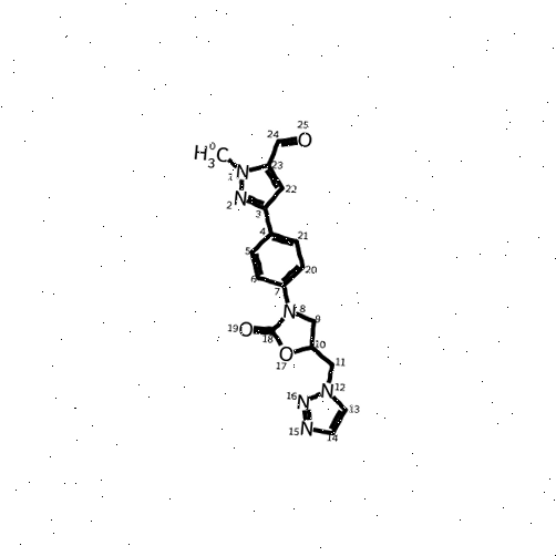 Cn1nc(-c2ccc(N3CC(Cn4ccnn4)OC3=O)cc2)cc1C=O